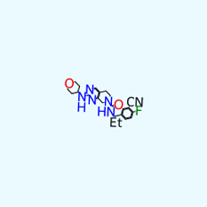 CCC(NC(=O)N1CCc2cnc(NC3CCOCC3)nc2C1)c1ccc(F)c(C#N)c1